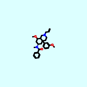 C=CCN1CCC2(c3cccc(OC)c3)C[C@H](N(C)C(=O)c3ccccc3)CC(OC)C2C1